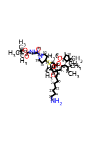 CC[C@@H](C)C([C@@H]1[C@H](OC)CCC1(C)C)[C@@H](C[C@](C)(CCCCCCCCN)C(=O)C(C)C)OC(=O)CSC1CCN(C(=O)CNC(=O)OC(C)(C)C)CC1